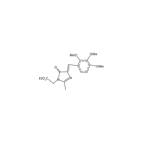 CCOC(=O)CN1C(=O)/C(=C/c2ccc(OC)c(OC)c2OC)N=C1C